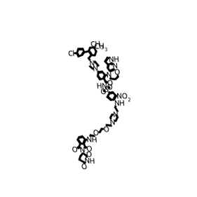 CC1(C)CCC(CN2CCN(c3ccc(C(=O)NS(=O)(=O)c4ccc(NCCN5CCN(CCOCCOCCNc6cccc7c6C(=O)N(C6CCC(=O)NC6=O)C7=O)CC5)c([N+](=O)[O-])c4)c(N4CCCOc5nc6[nH]ccc6cc54)c3)CC2)=C(c2ccc(Cl)cc2)C1